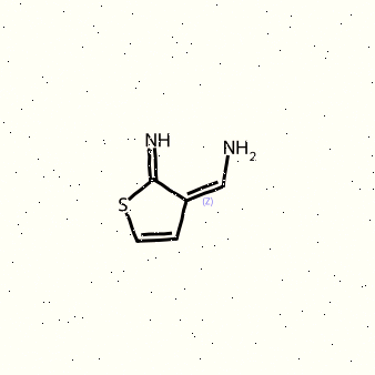 N=C1SC=C/C1=C/N